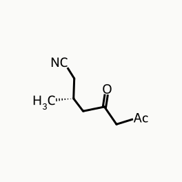 CC(=O)CC(=O)C[C@H](C)CC#N